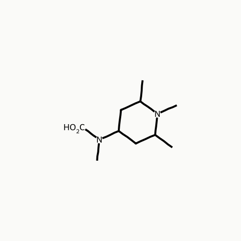 CC1CC(N(C)C(=O)O)CC(C)N1C